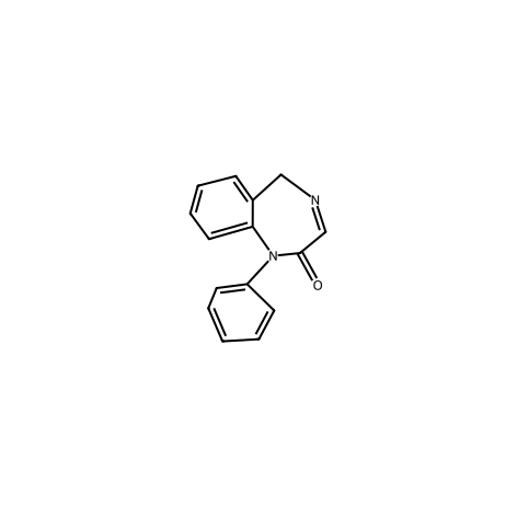 O=C1C=NCc2ccccc2N1c1ccccc1